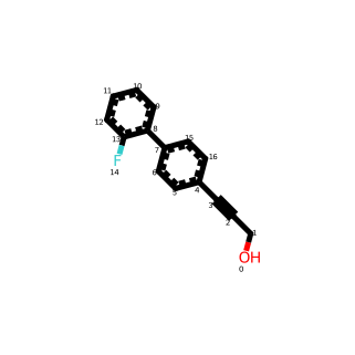 OCC#Cc1ccc(-c2ccccc2F)cc1